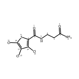 NC(=O)CCNC(=O)c1sc(Cl)c(Cl)c1Cl